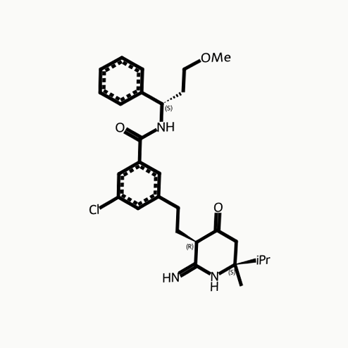 COCC[C@H](NC(=O)c1cc(Cl)cc(CC[C@@H]2C(=N)N[C@](C)(C(C)C)CC2=O)c1)c1ccccc1